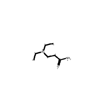 CC[As](CC)CCC(N)=O